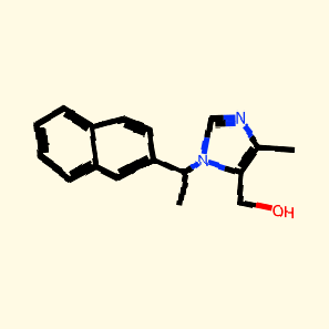 Cc1ncn(C(C)c2ccc3ccccc3c2)c1CO